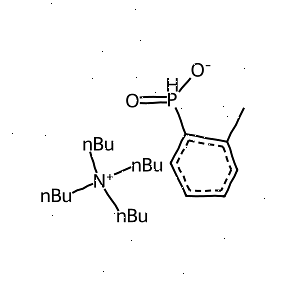 CCCC[N+](CCCC)(CCCC)CCCC.Cc1ccccc1[PH](=O)[O-]